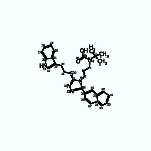 CC(C)(C)N(CCCn1c(SCCc2c[nH]c3ccccc23)nnc1-c1ccc2ccccc2c1)C(=O)O